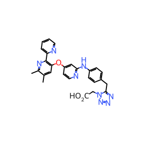 Cc1cc(Oc2ccnc(Nc3ccc(Cc4nnnn4CC(=O)O)cc3)c2)c(-c2ccccn2)nc1C